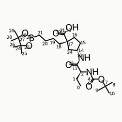 CC[C@H](NC(=O)OC(C)(C)C)C(=O)N[C@H]1CC[C@@](CCCCB2OC(C)(C)C(C)(C)O2)(C(=O)O)C1